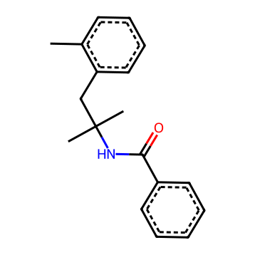 Cc1ccccc1CC(C)(C)NC(=O)c1ccccc1